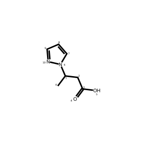 CC(CC(=O)O)n1cccn1